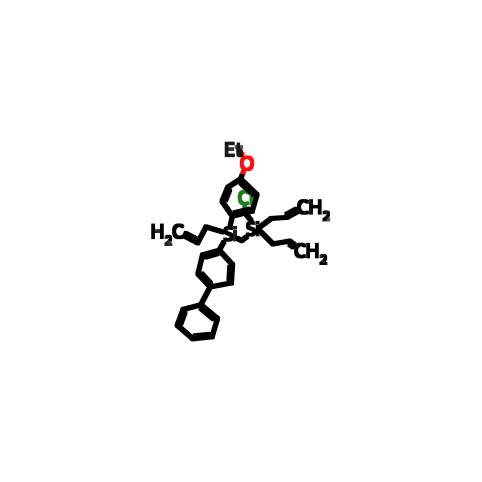 C=CC[Si](CCl)(CC=C)C[Si](CC=C)(c1ccc(OCC)cc1)c1ccc(-c2ccccc2)cc1